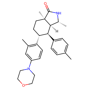 Cc1ccc([C@@H]2[C@@H]3[C@@H](C)NC(=O)[C@]3(C)CC[C@H]2c2ccc(N3CCOCC3)cc2C)cc1